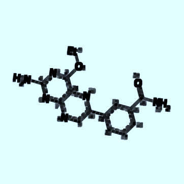 CCOc1nc(N)nc2ncc(-c3cccc(C(N)=O)c3)nc12